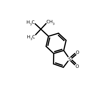 CC(C)(C)c1ccc2c(c1)C=CS2(=O)=O